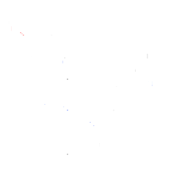 Cc1nn(-c2ccnc(Nc3ccc4c(c3)c(Cl)c(C)n4C)n2)cc1N(C)[C@H]1C[C@H](O)C1